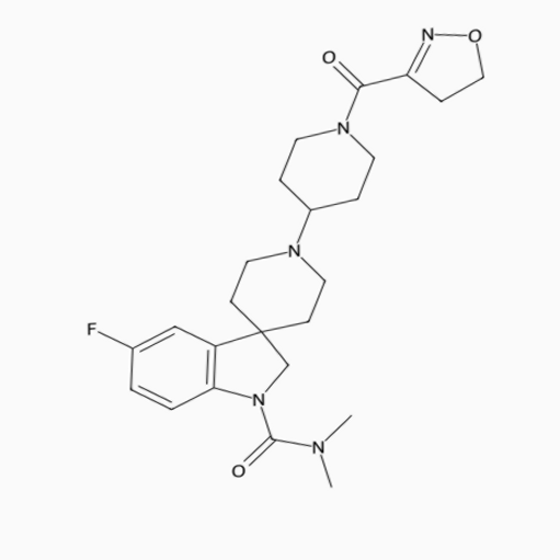 CN(C)C(=O)N1CC2(CCN(C3CCN(C(=O)C4=NOCC4)CC3)CC2)c2cc(F)ccc21